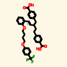 O=C(O)c1ccc(CCC(/C=C/c2ccccc2OCCCCOc2ccc(C(F)(F)F)cc2)Cc2ccc(C(=O)O)cc2)cc1